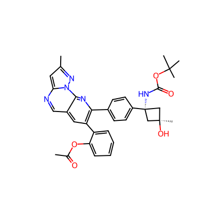 CC(=O)Oc1ccccc1-c1cc2cnc3cc(C)nn3c2nc1-c1ccc([C@]2(NC(=O)OC(C)(C)C)C[C@](C)(O)C2)cc1